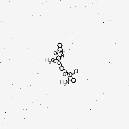 COc1cc2c(cc1OCc1cccc(CC(=O)N3C[C@@H](CCl)c4c3cc(N)c3ccccc43)c1)N=C[C@@H]1Cc3ccccc3CN1C2=O